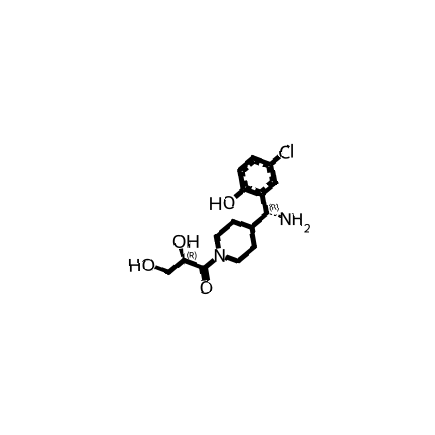 N[C@@H](c1cc(Cl)ccc1O)C1CCN(C(=O)[C@H](O)CO)CC1